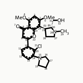 COc1cc(OC)c2c(=O)cc(-c3cccc(N4CCCC4)c3Cl)oc2c1[C@@H]1CCN(C)[C@H]1CO